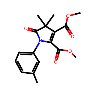 COC(=O)C1=C(C(=O)OC)C(C)(C)C(=O)N1c1cccc(C)c1